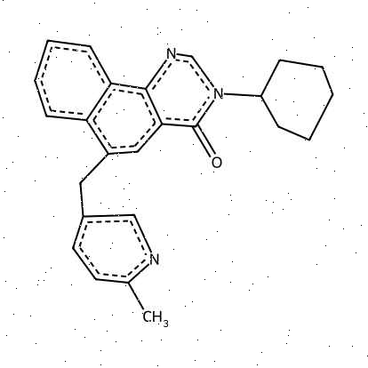 Cc1ccc(Cc2cc3c(=O)n(C4CCCCC4)cnc3c3ccccc23)cn1